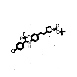 CC(C)(C)OC(=O)N1CCC(CCc2ccc(NC(c3ccc(Cl)cc3)C(F)(F)F)cc2)C1